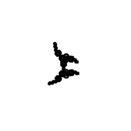 CCCCCC1CCC(C2CCC(C#Cc3ccc(C4(OC(=O)C5CCC(CCC)CC5)CCC(C5CCC(CCCCC)CC5)CC4)cc3)(OC(=O)C3CCC(CCC)CC3)CC2)CC1